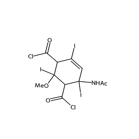 COC1(I)C(C(=O)Cl)C(I)=CC(I)(NC(C)=O)C1C(=O)Cl